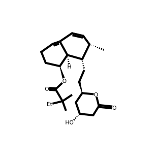 CCC(C)(C)C(=O)O[C@H]1CCC=C2C=C[C@H](C)[C@H](CC[C@@H]3C[C@@H](O)CC(=O)O3)[C@H]21